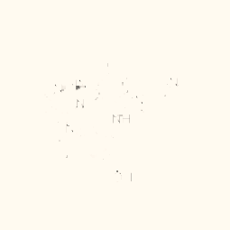 COc1cc(N(C)CCN(C)C)c(N)cc1Nc1nccc(-n2ccc3cc(CO)ccc32)n1